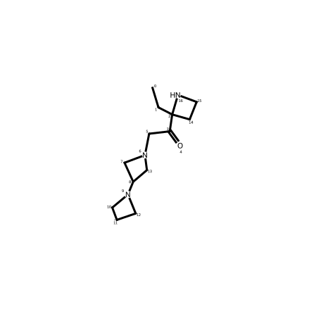 CCC1(C(=O)CN2CC(N3C[CH]C3)C2)CCN1